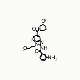 COCCCn1c(NC(=O)c2cccc(N)c2)nc2cc(C(=O)N3CCC[C@@H](OC)C3)cnc21